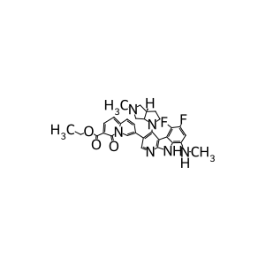 CCOC(=O)c1ccc2ccc(-c3cnc4[nH]c5c(NC)cc(F)c(F)c5c4c3N3CC[C@H]4CN(C)CC43)cn2c1=O